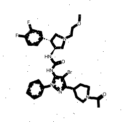 COCCN1C[C@@H](NC(=O)Nc2c(Br)c(C3CCN(C(C)=O)CC3)nn2-c2ccccc2)[C@H](c2ccc(F)c(F)c2)C1